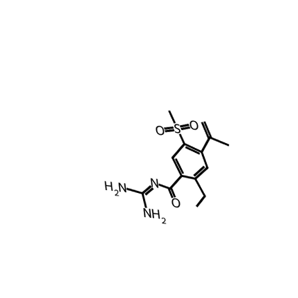 C=C(C)c1cc(CC)c(C(=O)N=C(N)N)cc1S(C)(=O)=O